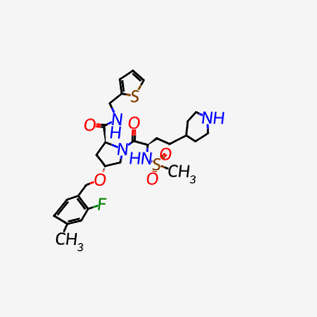 Cc1ccc(CO[C@@H]2C[C@@H](C(=O)NCc3cccs3)N(C(=O)[C@@H](CCC3CCNCC3)NS(C)(=O)=O)C2)c(F)c1